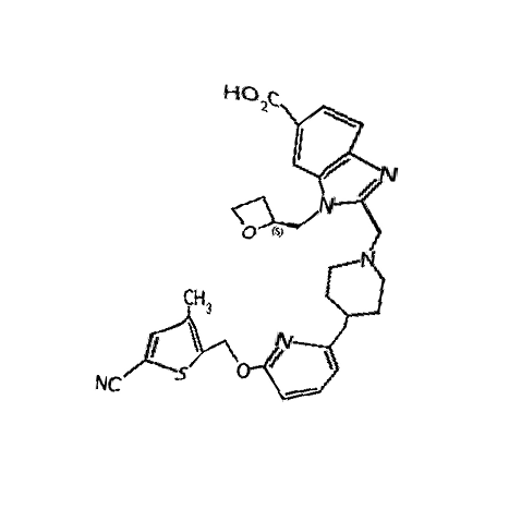 Cc1cc(C#N)sc1COc1cccc(C2CCN(Cc3nc4ccc(C(=O)O)cc4n3C[C@@H]3CCO3)CC2)n1